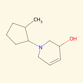 CC1CCCC1N1CC=CC(O)C1